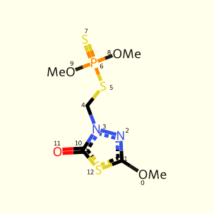 COc1nn(CSP(=S)(OC)OC)c(=O)s1